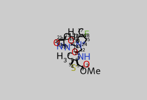 COC(=O)c1scc(C)c1NC(=O)C[N+]1(CC(=O)[N-]c2nocc2C)CCC(C)(F)CC1